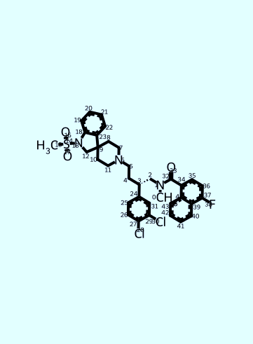 CN(C[C@@H](CCN1CCC2(CC1)CN(S(C)(=O)=O)c1ccccc12)c1ccc(Cl)c(Cl)c1)C(=O)c1ccc(F)c2ccccc12